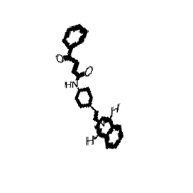 O=C(/C=C/C(=O)c1ccccc1)N[C@H]1CC[C@H](CCN2[C@@H]3CC[C@H]2c2ccccc23)CC1